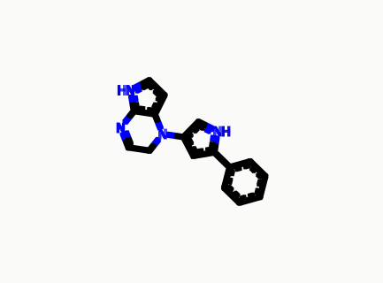 C1=Nc2[nH]ccc2N(c2c[nH]c(-c3ccccc3)c2)C1